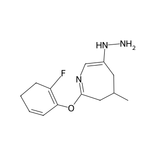 CC1CC(NN)=CN=C(OC2=C(F)CCC=C2)C1